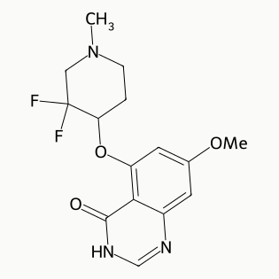 COc1cc(OC2CCN(C)CC2(F)F)c2c(=O)[nH]cnc2c1